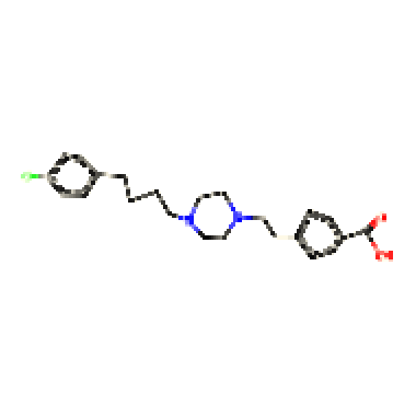 O=C(O)c1ccc(CCN2CCN(CCCCc3ccc(Cl)cc3)CC2)cc1